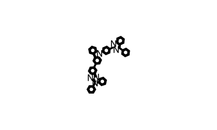 c1ccc(-c2nc(-c3ccc(-n4c5ccccc5c5cc(-c6ccc7nc8n(-c9ccccc9)c9ccccc9n8c7c6)ccc54)cc3)nc3ccccc23)cc1